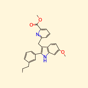 CCCc1cccc(-c2[nH]c3cc(OC)ccc3c2Cc2cccc(C(=O)OC)n2)c1